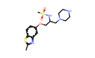 Cc1nc2cc(OCC(CN3CCNCC3)NS(C)(=O)=O)ccc2s1